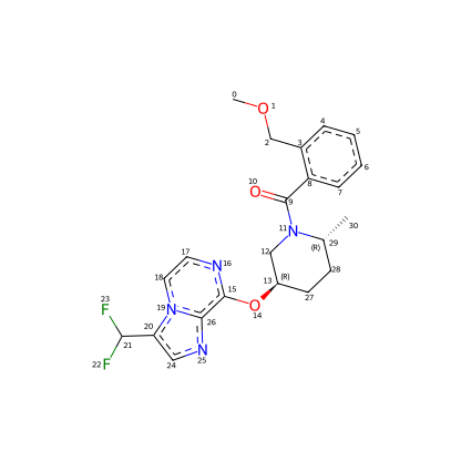 COCc1ccccc1C(=O)N1C[C@H](Oc2nccn3c(C(F)F)cnc23)CC[C@H]1C